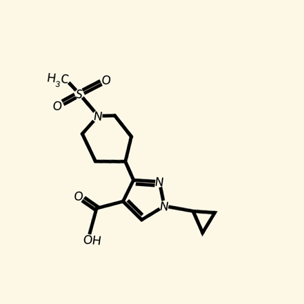 CS(=O)(=O)N1CCC(c2nn(C3CC3)cc2C(=O)O)CC1